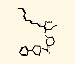 C\C=C/C=C\C=C\C=C\C(ON)=C(\CCC)SN1CCC[C@H](C(=O)N2CCC(c3ccccc3)CC2)C1